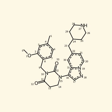 COc1cc(C)ccc1CN1C(=O)CCN(c2cnn3ccc(CC4CCNCC4)cc23)C1=O